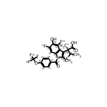 Cc1c([C@](C)(C(=O)O)C(C)C)c2c(F)c(O)c(F)cc2n1C(=O)c1ccc(OC(F)(F)F)cc1